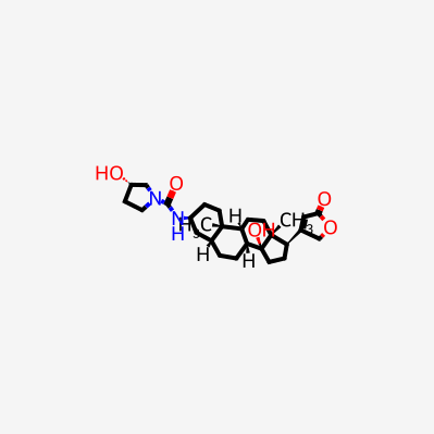 C[C@]12CC[C@H](NC(=O)N3CC[C@H](O)C3)C[C@H]1CC[C@@H]1[C@@H]2CC[C@]2(C)[C@@H](C3=CC(=O)OC3)CC[C@]12O